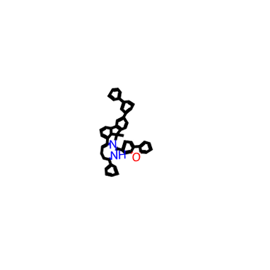 CC1(C)c2ccc(-c3cccc(-c4ccccc4)c3)cc2C2C=CC=C(C3=C/CCC(c4ccccc4)N/C(c4ccc5c(c4)oc4ccccc45)=N\3)C21